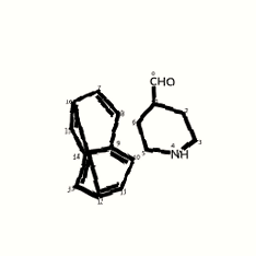 O=CC1CCNCC1.c1cc2ccc3cc2cc1-3